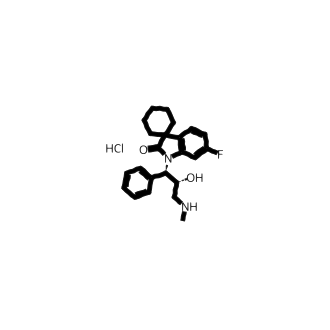 CNC[C@@H](O)[C@H](c1ccccc1)N1C(=O)C2(CCCCC2)c2ccc(F)cc21.Cl